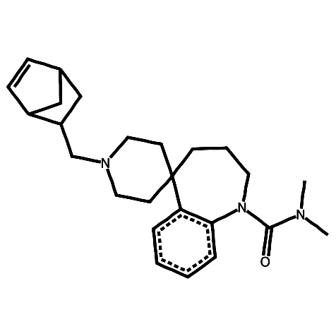 CN(C)C(=O)N1CCCC2(CCN(CC3CC4C=CC3C4)CC2)c2ccccc21